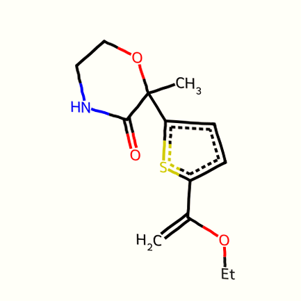 C=C(OCC)c1ccc(C2(C)OCCNC2=O)s1